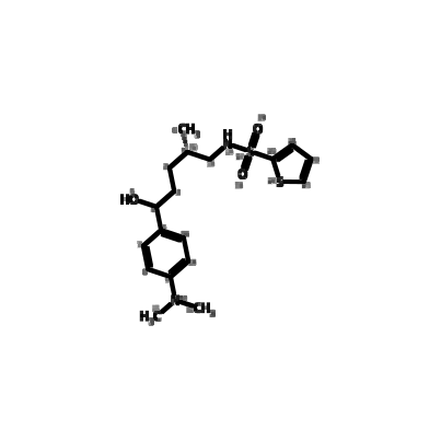 C[C@@H](CCC(O)c1ccc(N(C)C)cc1)CNS(=O)(=O)c1cccs1